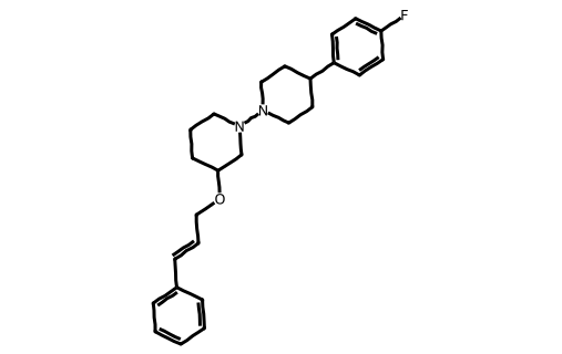 Fc1ccc(C2CCN(N3CCCC(OC/C=C/c4ccccc4)C3)CC2)cc1